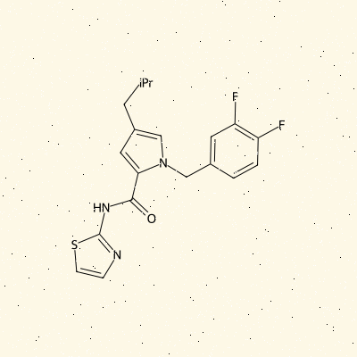 CC(C)Cc1cc(C(=O)Nc2nccs2)n(Cc2ccc(F)c(F)c2)c1